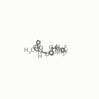 CC(C)C[C@H](NCCCOc1cccc(C(=O)c2cnn(-c3ccc(F)c(F)c3)c2N)c1)C(=O)OC1CCCC1